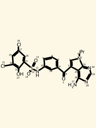 CC(C)n1cc(C(=O)c2cccc(NS(=O)(=O)c3cc(Cl)cc(Cl)c3O)c2)c2c(N)ncnc21